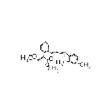 CO/C=C(/C(=O)OC)c1ccccc1/C=C/C=C/c1ccc(C)cc1C